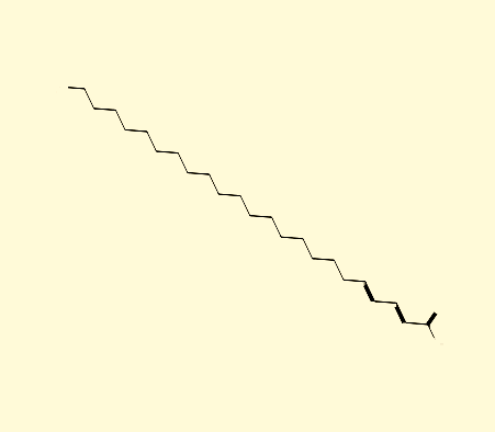 CCCCCCCCCCCCCCCCCCCC=CC=CC(=O)O